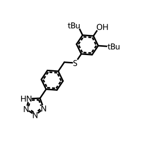 CC(C)(C)c1cc(SCc2ccc(-c3nnn[nH]3)cc2)cc(C(C)(C)C)c1O